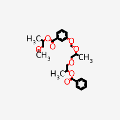 COCC(C)OC(=O)c1cccc(OCOC(C)COCC(C)OC(=O)c2ccccc2)c1